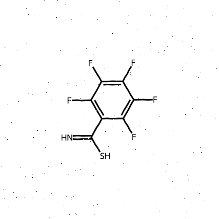 N=C(S)c1c(F)c(F)c(F)c(F)c1F